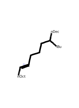 [CH2]CCCCCCC/C=C/CCCC(CCCCCCCCC[CH2])C(C)CC